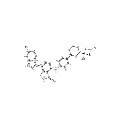 CN1CC(O)([C@@H]2CCCN(c3ccc(Nc4ccc(-c5cnc6cc(F)ccn56)c5c4C(=O)NC5)nc3)C2)C1